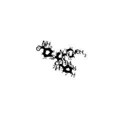 [2H]c1ccc(C([2H])([2H])Oc2nc(N3CCN(C)CC3)ncc2Sc2ccc(C(N)=O)cc2)c([2H])c1[2H]